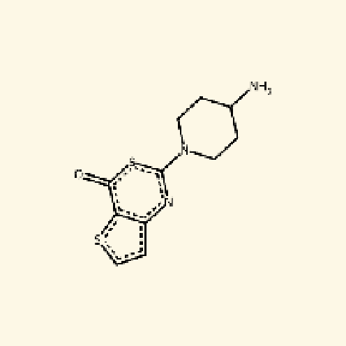 NC1CCN(c2nc3ccsc3c(=O)s2)CC1